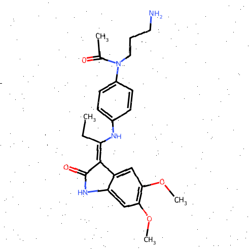 CC/C(Nc1ccc(N(CCCN)C(C)=O)cc1)=C1\C(=O)Nc2cc(OC)c(OC)cc21